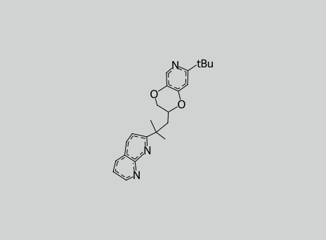 CC(C)(C)c1cc2c(cn1)OCC(CC(C)(C)c1ccc3cccnc3n1)O2